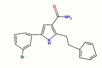 NC(=O)c1cc(-c2cccc(Br)c2)[nH]c1CCc1ccccc1